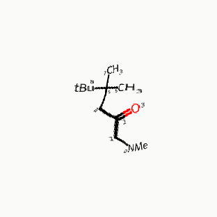 CNCC(=O)CC(C)(C)C(C)(C)C